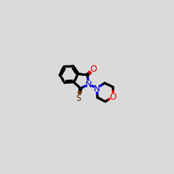 O=C1c2ccccc2C(=S)N1N1CCOCC1